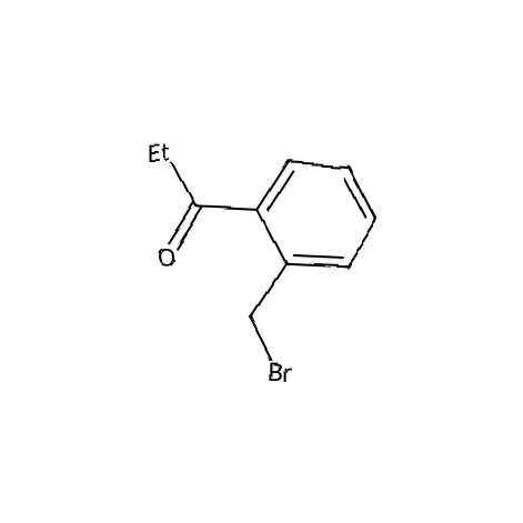 CCC(=O)c1ccccc1CBr